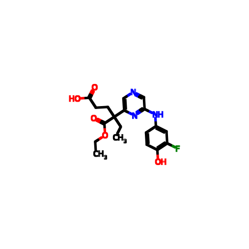 CCOC(=O)C(CC)(CCC(=O)O)c1cncc(Nc2ccc(O)c(F)c2)n1